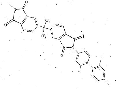 Cc1ccc(-c2ccc(N3C(=O)c4ccc(C(c5ccc6c(c5)C(=O)N(C)C6=O)(C(F)(F)F)C(F)(F)F)cc4C3=O)cc2F)c(F)c1